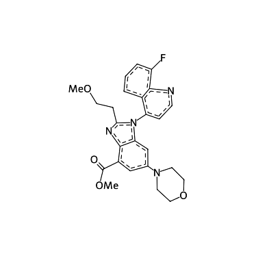 COCCc1nc2c(C(=O)OC)cc(N3CCOCC3)cc2n1-c1ccnc2c(F)cccc12